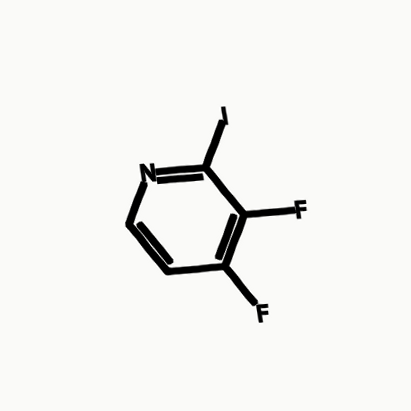 Fc1ccnc(I)c1F